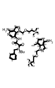 CCC(C)N(Cc1ccccc1)C(=O)C(=O)Nc1cnc(N)c2cnn(COCC[Si](C)(C)C)c12.C[Si](C)(C)CCOCn1ncc2c(N)ncc(I)c21